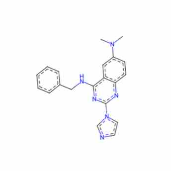 CN(C)c1ccc2nc(-n3ccnc3)nc(NCc3ccccc3)c2c1